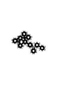 c1ccc(-c2cccc(N(c3ccccc3)c3ccc(-c4cc5c6c(c4)C(c4ccccc4)(c4ccccc4)c4ccc7c8ccccc8n(c7c4-6)-c4ccccc4-5)cc3)c2)cc1